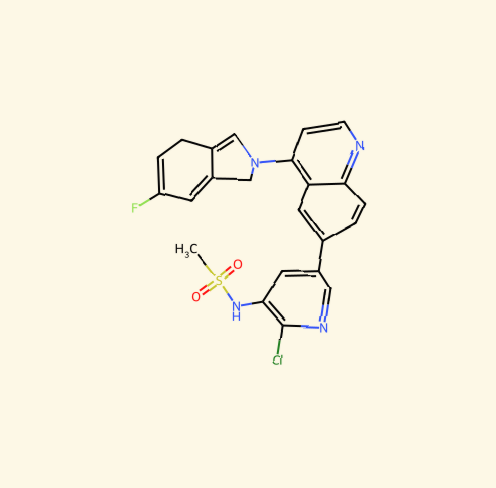 CS(=O)(=O)Nc1cc(-c2ccc3nccc(N4C=C5CC=C(F)C=C5C4)c3c2)cnc1Cl